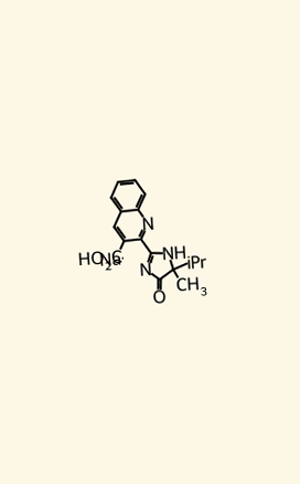 CC(C)C1(C)NC(c2nc3ccccc3cc2C(=O)O)=NC1=O.[Na]